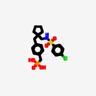 O=P(O)(O)Cc1ccc(CC2(CNS(=O)(=O)c3ccc(Cl)cc3)CCCC2)cc1